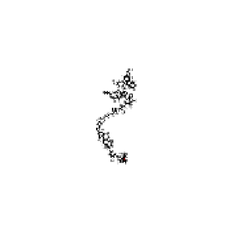 COc1ccc(C(OC[C@H]2O[C@@H](n3cc(CCC(=O)NCCCCCCSSC(C)(C)CCOc4ccc5c(c4)CCC4C5CC[C@]5(C)[C@@H](OCCN(C)CCOC(C(F)(F)F)(C(F)(F)F)C(F)(F)F)CC[C@@H]45)c(=O)[nH]c3=O)C[C@@H]2OP(CCC#N)N(C(C)C)C(C)C)(c2ccccc2)c2ccc(OC)cc2)cc1